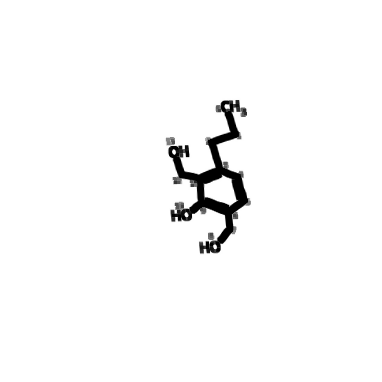 CCCc1ccc(CO)c(O)c1CO